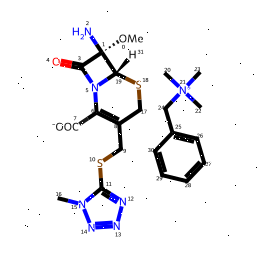 CO[C@@]1(N)C(=O)N2C(C(=O)[O-])=C(CSc3nnnn3C)CS[C@H]21.C[N+](C)(C)Cc1ccccc1